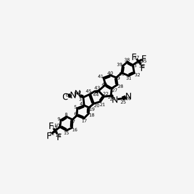 [C-]#[N+]/N=c1\c2cc(-c3ccc(C(F)(F)F)cc3)ccc2c2cc3/c(=N/C#N)c4cc(-c5ccc(C(F)(F)F)cc5)ccc4c3cc12